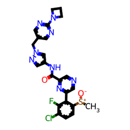 C[S+]([O-])c1ccc(Cl)c(F)c1-c1cncc(C(=O)Nc2cnn(Cc3cnc(N4CCC4)nc3)c2)n1